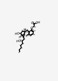 CCCCC[C@H](O)CC1[C@H]2[C@H](O)C[C@@H]3Cc4c(cccc4OCC(=O)O)C[C@@]132